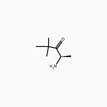 C[C@@H](N)C(=O)C(C)(C)C